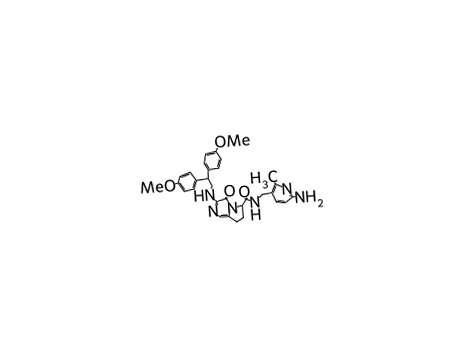 COc1ccc(C(CNc2ncc3n(c2=O)C(C(=O)NCc2ccc(N)nc2C)CC3)c2ccc(OC)cc2)cc1